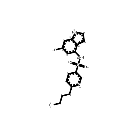 CCCCc1ccc(S(=O)(=O)Nc2cc(F)cc3[nH]ccc23)cn1